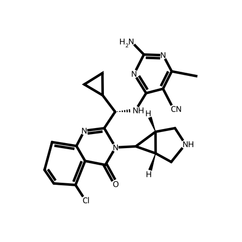 Cc1nc(N)nc(N[C@H](c2nc3cccc(Cl)c3c(=O)n2C2[C@H]3CNC[C@@H]23)C2CC2)c1C#N